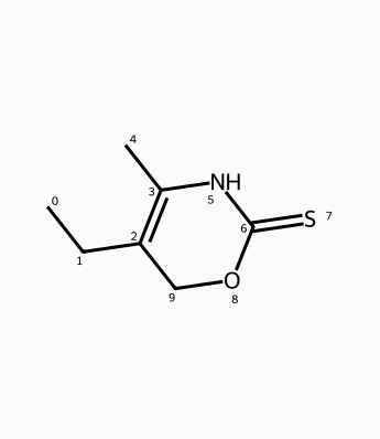 CCC1=C(C)NC(=S)OC1